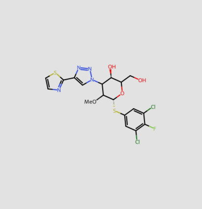 COC1C(n2cc(-c3nccs3)nn2)[C@@H](O)C(CO)O[C@@H]1Sc1cc(Cl)c(F)c(Cl)c1